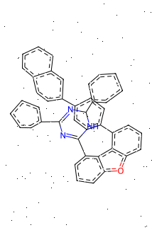 c1ccc(C2=NC(c3ccccc3)NC(c3cccc4oc5cccc(-c6ccc(-c7ccc8ccccc8c7)cc6)c5c34)=N2)cc1